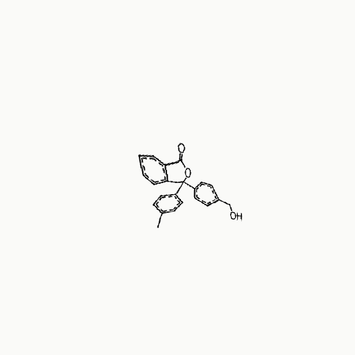 Cc1ccc(C2(c3ccc(CO)cc3)OC(=O)c3ccccc32)cc1